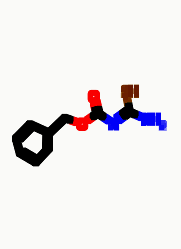 NC(S)=NC(=O)OCc1ccccc1